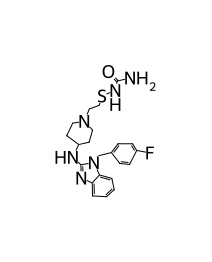 NC(=O)NSCCN1CCC(Nc2nc3ccccc3n2Cc2ccc(F)cc2)CC1